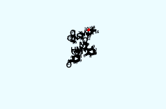 Cc1cccc(C)c1-c1cc(OC[C@@H](CC(C)(C)C)N(C)C2C[SH](N3CCOC3=O)C2)nc(NS(=O)(=O)c2cccc(C=O)c2)n1